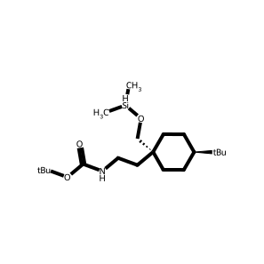 C[SiH](C)OC[C@]1(CCNC(=O)OC(C)(C)C)CC[C@@H](C(C)(C)C)CC1